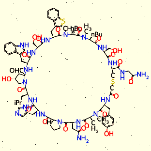 CCCC[C@H]1C(=O)N(C)[C@@H](CCCC)C(=O)N[C@@H](CO)C(=O)NC(C(=O)NCC(N)=O)CSCC(=O)N[C@@H](Cc2ccc(O)cc2)C(=O)N(C)[C@@H](C)C(=O)N[C@@H](CC(N)=O)C(=O)N2CCC[C@H]2C(=O)N[C@@H](Cc2cnc[nH]2)C(=O)N[C@@H](CC(C)C)C(=O)N2C[C@H](O)CC2(C=O)N[C@@H](Cc2c[nH]c3ccccc23)C(=O)N[C@@H](CO)C(=O)N[C@@H](Cc2csc3ccccc23)C(=O)N1C